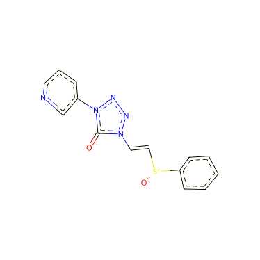 O=c1n(/C=C/[S@@+]([O-])c2ccccc2)nnn1-c1cccnc1